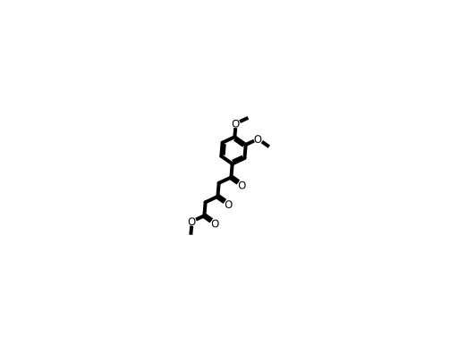 COC(=O)CC(=O)CC(=O)c1ccc(OC)c(OC)c1